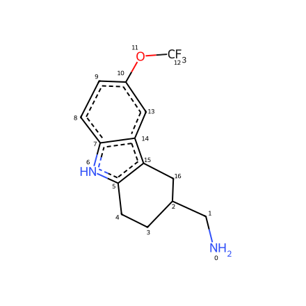 NCC1CCc2[nH]c3ccc(OC(F)(F)F)cc3c2C1